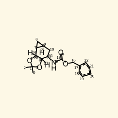 CC1(C)O[C@@H]2[C@H](O1)C1C[C@H]1C[C@H]2NC(=O)OCc1ccccc1